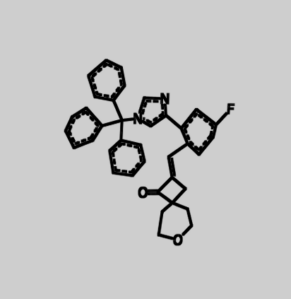 O=C1/C(=C/c2ccc(F)cc2-c2cn(C(c3ccccc3)(c3ccccc3)c3ccccc3)cn2)CC12CCOCC2